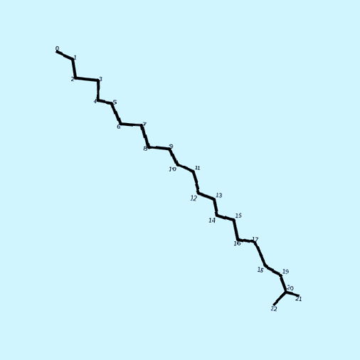 CCCCCCCCCCCCCCCCCCCCC(C)C